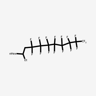 CCCCCCC(CC)CC(F)(F)C(F)(F)C(F)(F)C(F)(F)C(F)(F)C(F)(F)C(F)(F)C(F)(F)F